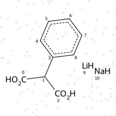 O=C(O)C(C(=O)O)c1ccccc1.[LiH].[NaH]